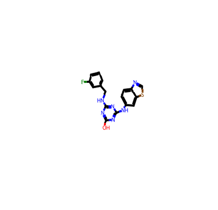 Oc1nc(NCc2cccc(F)c2)nc(Nc2ccc3ncsc3c2)n1